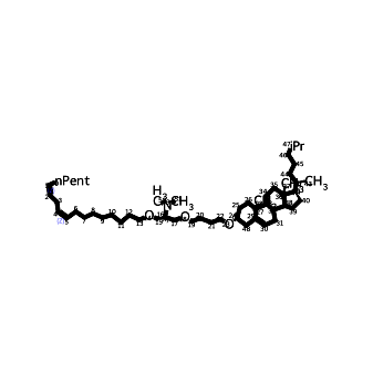 CCCCC/C=C\C/C=C\CCCCCCCCOC[C@H](COCCCCO[C@H]1CC[C@@]2(C)C(=CCC3C2CC[C@@]2(C)C3CC[C@@H]2[C@H](C)CCCC(C)C)C1)N(C)C